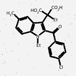 CCn1c(C(=O)c2ccc(Cl)cc2)c(C(CC)(C(=O)O)C(=O)O)c2cc(C)ccc21